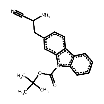 CC(C)(C)OC(=O)n1c2ccccc2c2ccc(CC(N)C#N)cc21